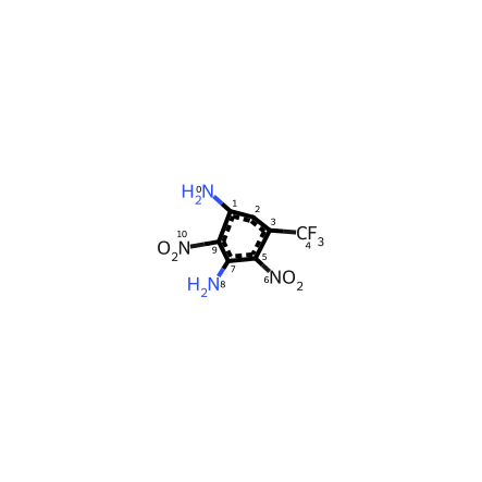 Nc1cc(C(F)(F)F)c([N+](=O)[O-])c(N)c1[N+](=O)[O-]